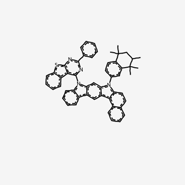 CC1CC(C)(C)c2ccc(-n3c4cc5c(cc4c4c6ccccc6ccc43)c3ccccc3n5-c3nc(-c4ccccc4)nc4sc5ccccc5c34)cc2C1(C)C